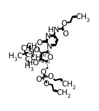 C=CCOC(=O)Nc1ccn([C@@H]2O[C@H](COP(=O)(OCC=C)OCC=C)[C@@H](O)[C@H]2O[Si](C)(C)C(C)(C)C)c(=O)n1